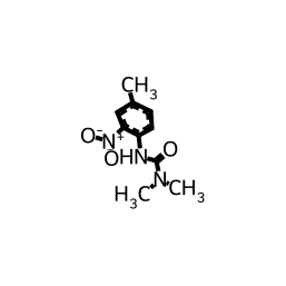 Cc1ccc(NC(=O)N(C)C)c([N+](=O)[O-])c1